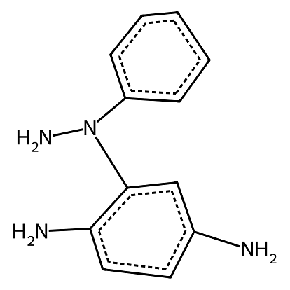 Nc1ccc(N)c(N(N)c2ccccc2)c1